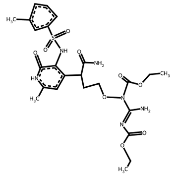 CCOC(=O)N=C(N)N(OCCC(C(N)=O)c1cc(C)[nH]c(=O)c1NS(=O)(=O)c1cccc(C)c1)C(=O)OCC